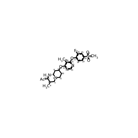 CC(=O)C(N)C(C)CN1CCC(Oc2ncnc(Oc3ccc(S(C)(=O)=O)cc3F)c2C)CC1